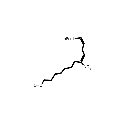 CCCCC/C=C\C/C=C(\CCCCCCC[C]=O)[N+](=O)[O-]